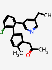 CCc1cncc(-c2cccc(Cl)c2-c2ccc(C)c(CC(C)=O)c2)c1